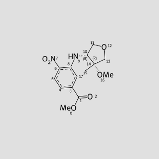 COC(=O)c1ccc([N+](=O)[O-])c(N[C@@H]2COC[C@]2(C)OC)c1